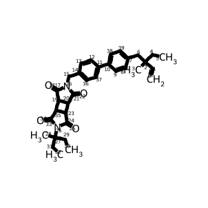 C=CC(C)(CC)Cc1ccc(-c2ccc(CN3C(=O)C4C(C3=O)C3C(=O)N(C(C)(CC)CC)C(=O)C43)cc2)cc1